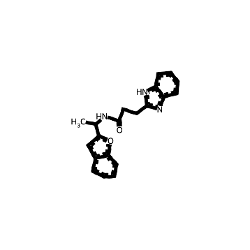 CC(NC(=O)CCc1nc2ccccc2[nH]1)c1cc2ccccc2o1